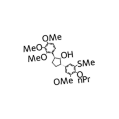 CCCOc1c(OC)cc([C@@H]2CC[C@@H](c3ccc(OC)c(OC)c3OC)[C@@H]2O)cc1SC